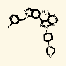 Nc1ncnc2c1c(-c1ccc3cnn(Cc4cccc(F)c4)c3c1)nn2[C@H]1CC[C@H](N2CCOCC2)CC1